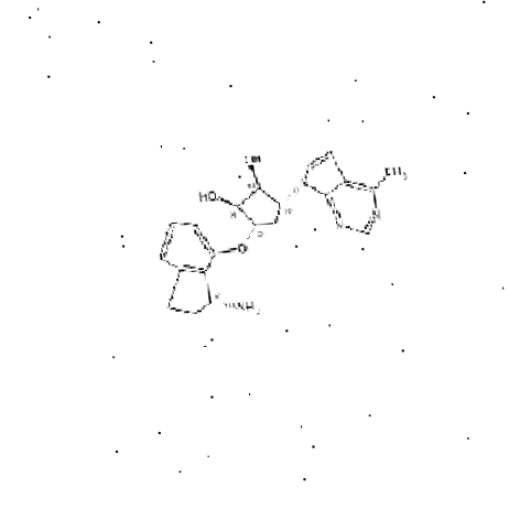 Cc1ncnc2c1ccn2[C@@H]1C[C@H](Oc2cccc3c2[C@H](N)CC3)[C@@H](O)[C@H]1O